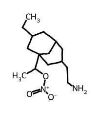 CCC1CC2CC(CCN)CC(C(C)O[N+](=O)[O-])(C1)C2